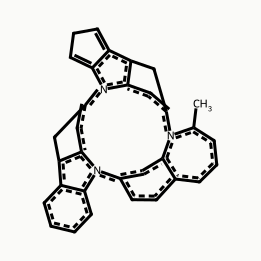 Cc1cccc2ccc3cc2n1c1cc2c(c4c(n2c2cc5c(c6ccccc6n35)C2)=CCC=4)C1